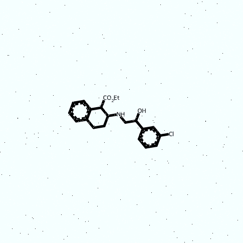 CCOC(=O)C1c2ccccc2CCC1NCC(O)c1cccc(Cl)c1